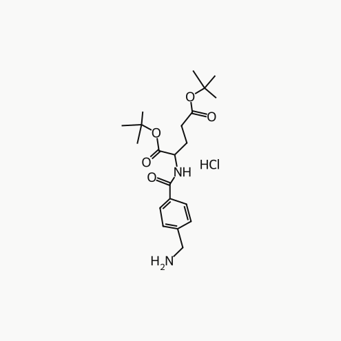 CC(C)(C)OC(=O)CCC(NC(=O)c1ccc(CN)cc1)C(=O)OC(C)(C)C.Cl